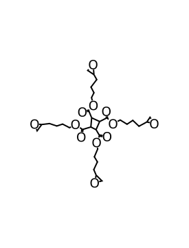 O=C(OCCCCC1CO1)C1C(C(=O)OCCCCC2CO2)C(C(=O)OCCCCC2CO2)C1C(=O)OCCCCC1CO1